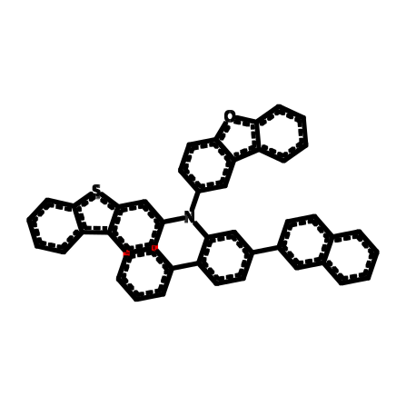 c1ccc(-c2ccc(-c3ccc4ccccc4c3)cc2N(c2ccc3c(c2)sc2ccccc23)c2ccc3oc4ccccc4c3c2)cc1